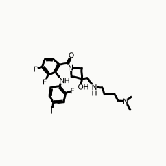 CN(C)CCCCNCC1(O)CN(C(=O)c2ccc(F)c(F)c2Nc2ccc(I)cc2F)C1